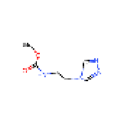 CC(C)(C)OC(=O)NCCn1[c]nnc1